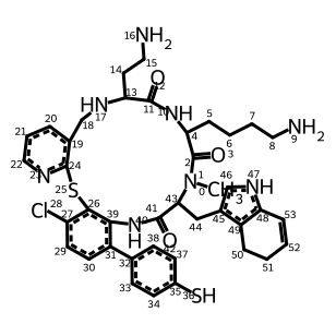 CN1C(=O)C(CCCCN)NC(=O)C(CCN)NCc2cccnc2Sc2c(Cl)ccc(-c3ccc(S)cc3)c2NC(=O)C1Cc1c[nH]c2c1CCC=C2